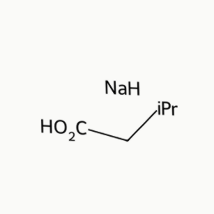 [CH2]C(C)CC(=O)O.[NaH]